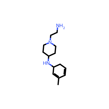 CC1=CC(NC2CCN(CCN)CC2)CC=C1